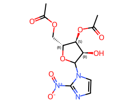 CC(=O)OC[C@H]1OC(n2ccnc2[N+](=O)[O-])[C@H](O)[C@@H]1OC(C)=O